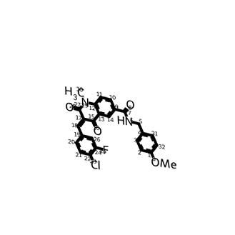 COc1ccc(CNC(=O)c2ccc3c(c2)C(=O)/C(=C\c2ccc(Cl)c(F)c2)C(=O)N3C)cc1